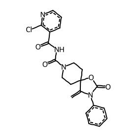 C=C1N(c2ccccc2)C(=O)OC12CCN(C(=O)NC(=O)c1cccnc1Cl)CC2